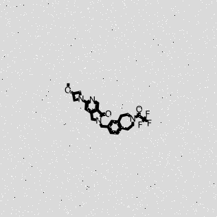 COC1CN(c2cc3c(cn2)C(=O)N(Cc2ccc4c(c2)CCN(C(=O)C(F)(F)F)CC4)C3)C1